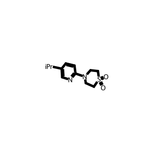 CC(C)c1ccc(N2CCS(=O)(=O)CC2)nc1